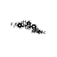 CC(=O)N1CC(NS(=O)(=O)N2CCC[C@H](C(=O)N3CCC[C@@H]3C(=O)NCc3ccc(C(F)(F)F)cc3F)C2)C1